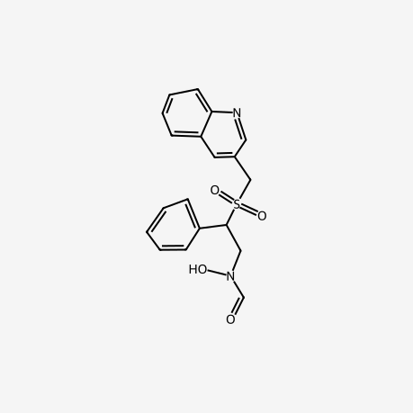 O=CN(O)CC(c1ccccc1)S(=O)(=O)Cc1cnc2ccccc2c1